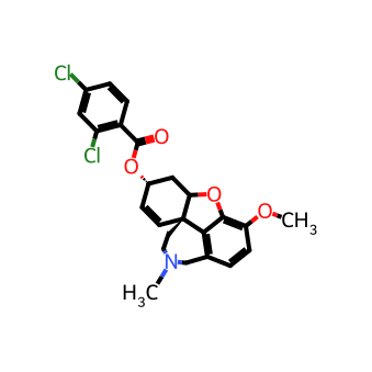 COc1ccc2c3c1OC1C[C@@H](OC(=O)c4ccc(Cl)cc4Cl)C=C[C@@]31CCN(C)C2